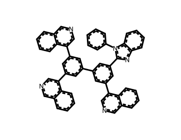 c1ccc(-n2c(-c3cc(-c4cc(-c5cncc6ccccc56)cc(-c5cncc6ccccc56)c4)cc(-c4cncc5ccccc45)c3)nc3ccccc32)cc1